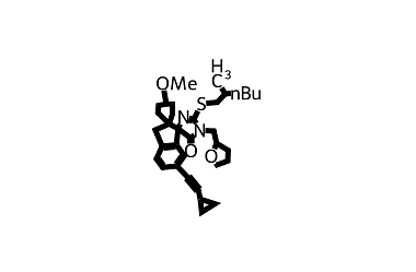 CCCCC(C)CSC1=NC2(C(=O)N1CC1CCCO1)c1cc(C#CC3CC3)ccc1CC21CCC(OC)CC1